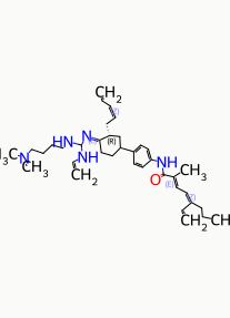 C=C/C=C\C[C@@H]1CC(c2ccc(NC(=O)/C(C)=C/C=C(\C=C)CCC)cc2)CC/C1=N\C(NC=C)NCCCCN(C)C